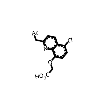 CC(=O)Cc1ccc2c(Cl)ccc(OCC(=O)O)c2n1